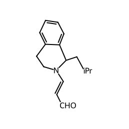 CC(C)CC1c2ccccc2CCN1C=CC=O